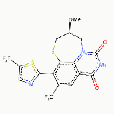 CO[C@@H]1CSc2c(-c3ncc(C(F)(F)F)s3)c(C(F)(F)F)cc3c(=O)[nH]c(=O)n(c23)C1